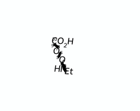 CCNCCOCCOCCC(=O)O